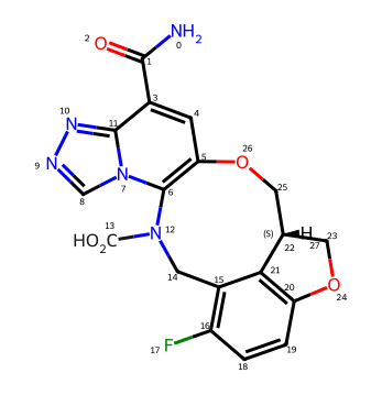 NC(=O)c1cc2c(n3cnnc13)N(C(=O)O)Cc1c(F)ccc3c1[C@@H](CO3)CO2